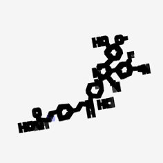 COc1ccc(-c2cnc(N3CCC(NCCc4ccc(/C=C/C(=O)NO)cc4)CC3)c(C#N)c2-c2ccc(C#N)c(F)c2)cc1O.Cl